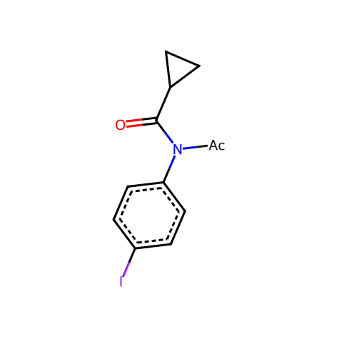 CC(=O)N(C(=O)C1CC1)c1ccc(I)cc1